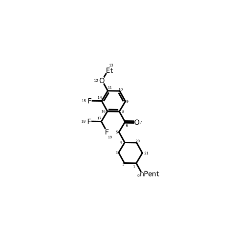 CCCCCC1CCC(CC(=O)c2ccc(OCC)c(F)c2C(F)F)CC1